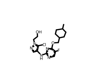 CC1CCC(COc2nc(Nc3cnn(CCO)c3Cl)ncc2F)CC1